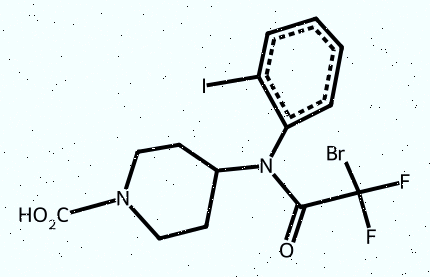 O=C(O)N1CCC(N(C(=O)C(F)(F)Br)c2ccccc2I)CC1